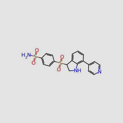 NS(=O)(=O)c1ccc(S(=O)(=O)C2CNc3c(-c4ccncc4)cccc32)cc1